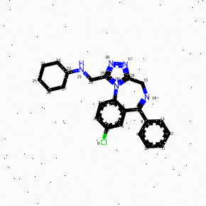 Clc1ccc2c(c1)C(c1ccccc1)=NCc1nnc(CNC3CCCCC3)n1-2